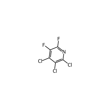 Fc1nc(Cl)c(Cl)c(Cl)c1F